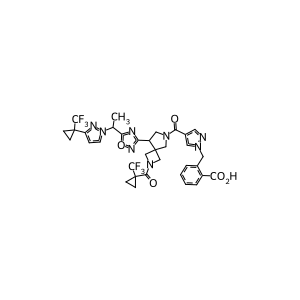 CC(c1nc(C2CN(C(=O)c3cnn(Cc4ccccc4C(=O)O)c3)CC23CN(C(=O)C2(C(F)(F)F)CC2)C3)no1)n1ccc(C2(C(F)(F)F)CC2)n1